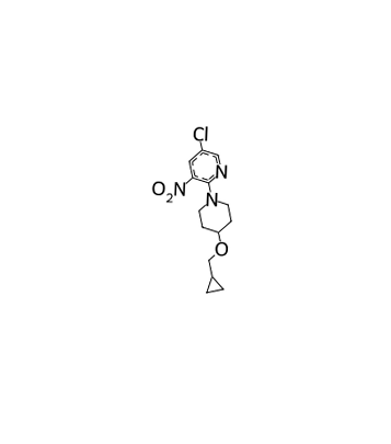 O=[N+]([O-])c1cc(Cl)cnc1N1CCC(OCC2CC2)CC1